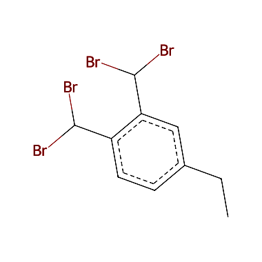 CCc1ccc(C(Br)Br)c(C(Br)Br)c1